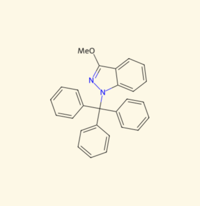 COc1nn(C(c2ccccc2)(c2ccccc2)c2ccccc2)c2ccccc12